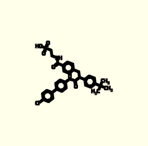 CC(C)(C)c1ccc(C(Cc2ccc(C(=O)NCCS(=O)(=O)O)cc2)C(=O)Nc2ccc(-c3ccc(Cl)cc3)cc2)cc1